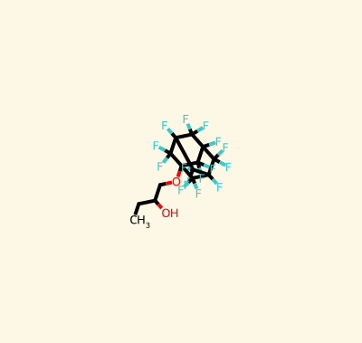 CCC(O)COC12C(F)(F)C3(F)C(F)(F)C(F)(C(F)(F)C(F)(C3(F)F)C1(F)F)C2(F)F